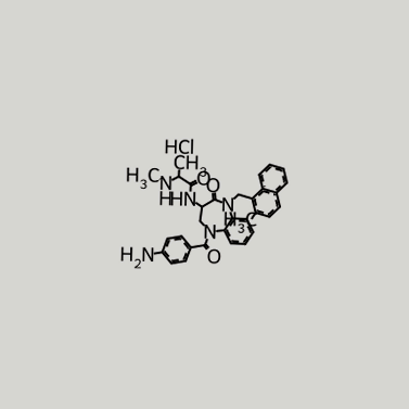 CNC(C)C(=O)NC1CN(C(=O)c2ccc(N)cc2)c2ccccc2N(Cc2c(C)ccc3ccccc23)C1=O.Cl